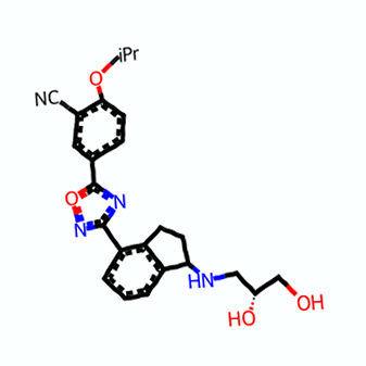 CC(C)Oc1ccc(-c2nc(-c3cccc4c3CCC4NC[C@@H](O)CO)no2)cc1C#N